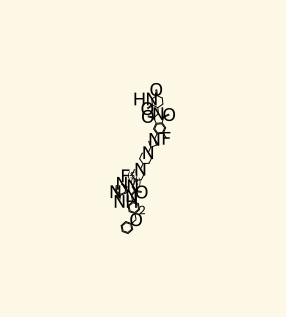 Nc1ncnc2c1n(-c1ccc(Oc3ccccc3)cc1)c(=O)n2[C@@H]1CCN(C2CCN(C3CN(c4cc5c(cc4F)C(=O)N(C4CCC(=O)NC4=O)C5=O)C3)CC2)C[C@@H]1F